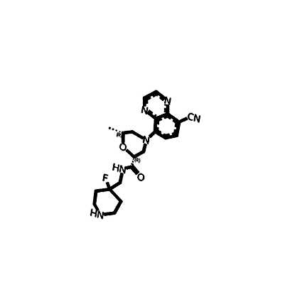 C[C@@H]1CN(c2ccc(C#N)c3nccnc23)C[C@H](C(=O)NCC2(F)CCNCC2)O1